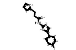 O=C(CCc1ccco1)Nc1ncc(-c2ccc(F)cc2)s1